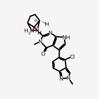 Cn1cc2c(Cl)c(-c3c[nH]c4nc(N5CC6CC[C@@H]5[C@@H]6N)n(C)c(=O)c34)ccc2n1